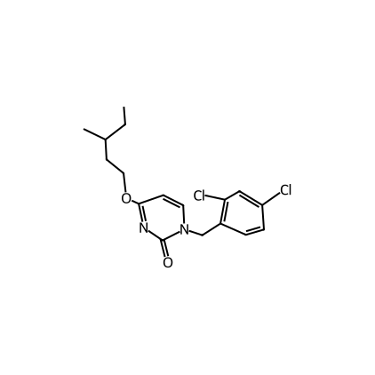 CCC(C)CCOc1ccn(Cc2ccc(Cl)cc2Cl)c(=O)n1